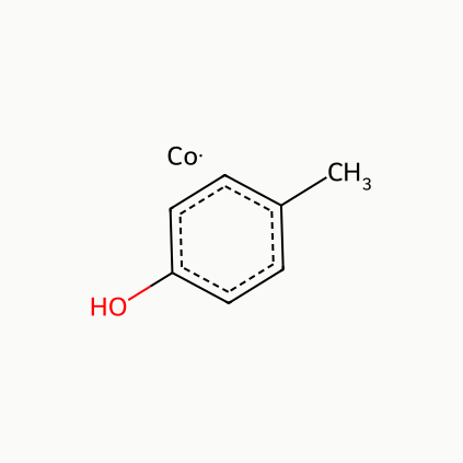 Cc1ccc(O)cc1.[Co]